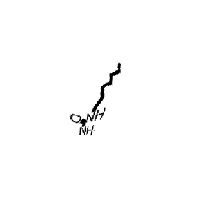 CCCCCCCNC([NH])=O